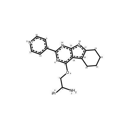 CC(C)C(N)COc1nc(-c2ccncc2)nc2sc3c(c12)CCCC3